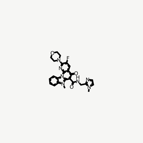 Cn1ccnc1CNC(=O)c1c(=O)c2cc(F)c(N3CCOCC3)nc2n2c3ccccc3n(C)c12